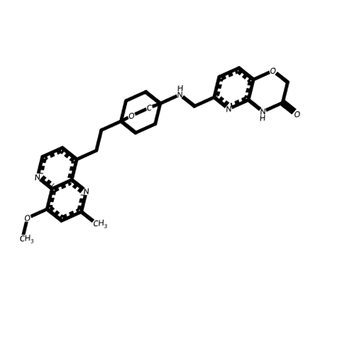 COc1cc(C)nc2c(CCC34CCC(NCc5ccc6c(n5)NC(=O)CO6)(CC3)CO4)ccnc12